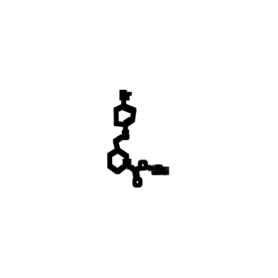 CC(C)(C)OC(=O)N1CCCC(CSC2=CC=C(Br)CC2)C1